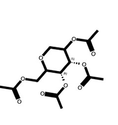 CC(=O)OCC1OCC(OC(C)=O)[C@H](OC(C)=O)[C@@H]1OC(C)=O